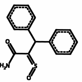 NC(=O)C(=S=O)C(c1ccccc1)c1ccccc1